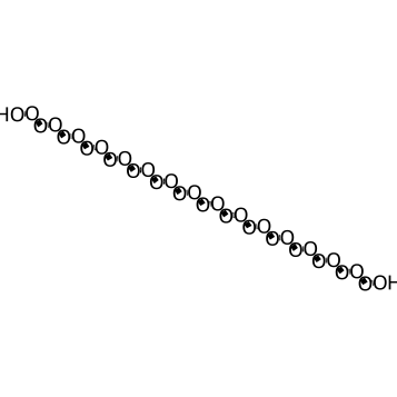 OOOOOOOOOOOOOOOOOOOOOOOOOOOOOOOO